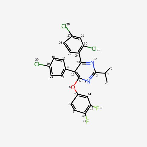 CC(C)c1nc(Oc2ccc(F)c(F)c2)c(-c2ccc(Cl)cc2)c(-c2ccc(Cl)cc2Cl)n1